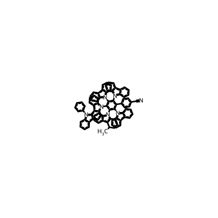 CC1CC=Cc2c1c1ccccc1n2-c1c(-n2c3ccccc3c3ccccc32)c(-c2ccc(C#N)cc2)c(-n2c3ccccc3c3ccccc32)c(-n2c3ccccc3c3ccccc32)c1-n1c2ccccc2c2c1ccc1c3ccccc3n(-c3ccccc3)c12